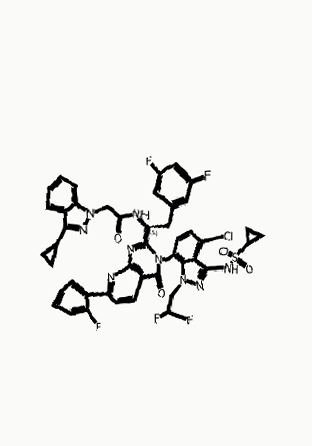 O=C(Cn1nc(C2CC2)c2ccccc21)N[C@@H](Cc1cc(F)cc(F)c1)c1nc2nc(-c3ccccc3F)ccc2c(=O)n1-c1ccc(Cl)c2c(NS(=O)(=O)C3CC3)nn(CC(F)F)c12